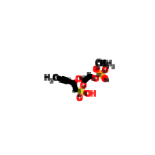 CC#CC(CS(=O)(=O)O)OCCOP(=O)(OC)OC